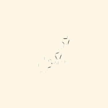 CC(C)=CC(=O)Nc1c(C)cc(OCc2ccc(F)cc2)cc1C